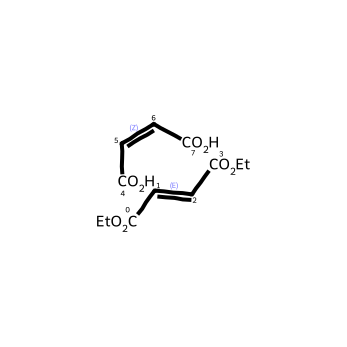 CCOC(=O)/C=C/C(=O)OCC.O=C(O)/C=C\C(=O)O